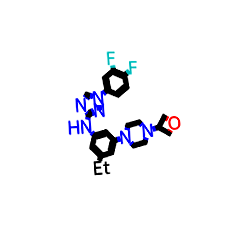 CCc1cc(Nc2ncn(-c3ccc(F)c(F)c3)n2)cc(N2CCN(C3COC3)CC2)c1